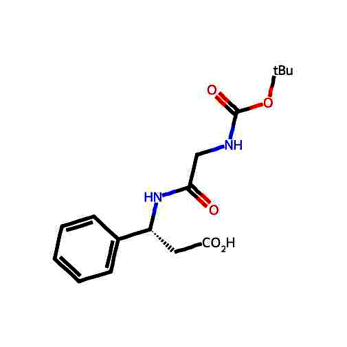 CC(C)(C)OC(=O)NCC(=O)N[C@H](CC(=O)O)c1ccccc1